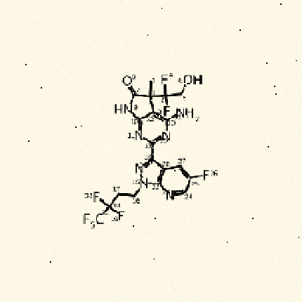 CC1(C(F)(F)CO)C(=O)Nc2nc(-c3nn(CCC(F)(F)C(F)(F)F)c4ncc(F)cc34)nc(N)c21